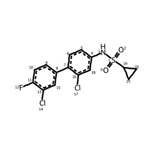 O=S(=O)(Nc1ccc(-c2ccc(F)c(Cl)c2)c(Cl)c1)C1CC1